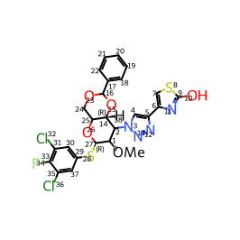 COC1C(n2cc(-c3csc(O)n3)nn2)[C@H]2OC(c3ccccc3)OCC2O[C@@H]1Sc1cc(Cl)c(F)c(Cl)c1